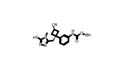 Cn1c(S)nnc1C[C@]1(c2cccc(NC(=O)OC(C)(C)C)c2)C[C@H](C#N)C1